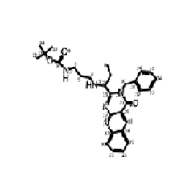 CCC(NCCCNC(=O)OC(C)(C)C)c1nc2nc3ccccc3cc2c(=O)n1Cc1ccccc1